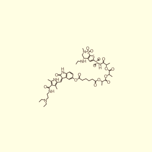 CCN[C@@H]1CN(C)S(=O)(=O)c2sc(S(=O)(=O)NC(=O)C(C)OC(=O)C(C)OC(=O)C(C)OC(=O)CCCCC(=O)Oc3ccc4c(c3)/C(=C/c3[nH]c(C)c(C(=O)NCCN(CC)CC)c3C)C(=O)N4)cc21